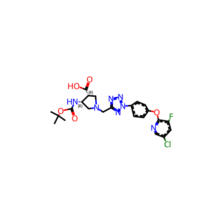 CC(C)(C)OC(=O)N[C@H]1CN(Cc2nnn(-c3ccc(Oc4ncc(Cl)cc4F)cc3)n2)C[C@H]1C(=O)O